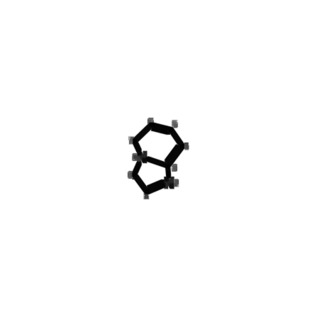 [CH]1C=NC2=CC=CCN12